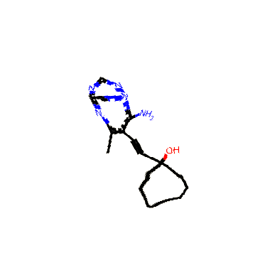 Cc1nc2ncnn2c(N)c1C#CC1(O)CCCCCC1